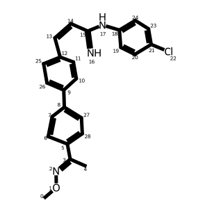 CO/N=C(\C)c1ccc(-c2ccc(/C=C\C(=N)Nc3ccc(Cl)cc3)cc2)cc1